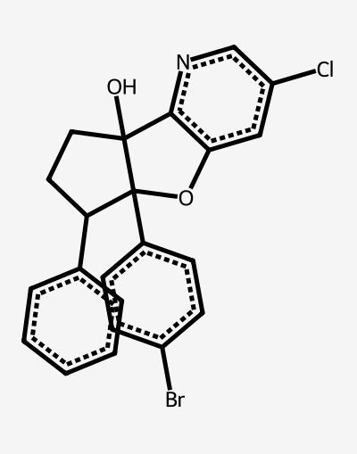 OC12CCC(c3ccccc3)C1(c1ccc(Br)cc1)Oc1cc(Cl)cnc12